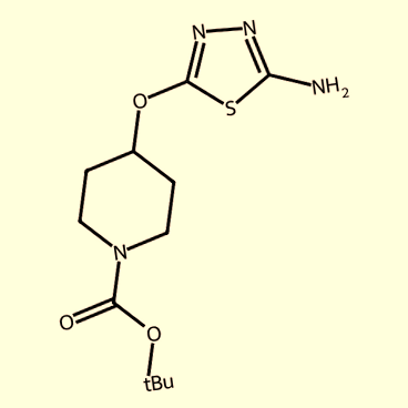 CC(C)(C)OC(=O)N1CCC(Oc2nnc(N)s2)CC1